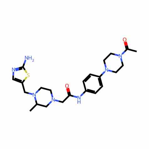 CC(=O)N1CCN(c2ccc(NC(=O)CN3CCN(Cc4cnc(N)s4)C(C)C3)cc2)CC1